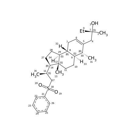 CC[C@](C)(O)CC1=CC[C@@H]2[C@H](CC[C@]3(C)[C@@H]([C@H](C)CS(=O)(=O)c4ccccc4)CC[C@@H]23)[C@H]1C